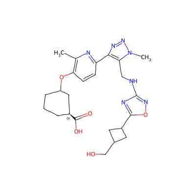 Cc1nc(-c2nnn(C)c2CNc2noc(C3CC(CO)C3)n2)ccc1OC1CCC[C@H](C(=O)O)C1